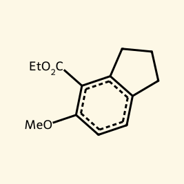 CCOC(=O)c1c(OC)ccc2c1CCC2